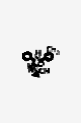 Cc1cccc(C(=O)N[C@H](c2cn(C3(C#N)CC3)nn2)C2CCCCC2)c1